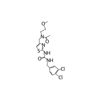 COCCN(Cc1csc(NC(=O)NCc2ccc(Cl)c(Cl)c2)n1)C(C)=O